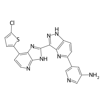 Nc1cncc(-c2ccc3[nH]nc(-c4nc5c(-c6ccc(Cl)s6)ccnc5[nH]4)c3n2)c1